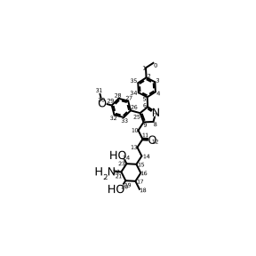 CCc1ccc(C2=NCC(CC(=O)CCC3CC(C)C(O)C(N)C3O)=C2c2ccc(OC)cc2)cc1